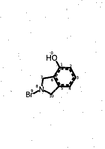 Oc1cccc2c1CN(Br)C2